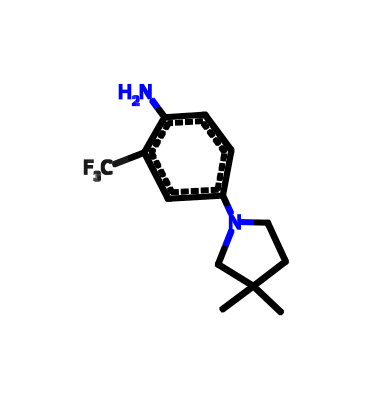 CC1(C)CCN(c2ccc(N)c(C(F)(F)F)c2)C1